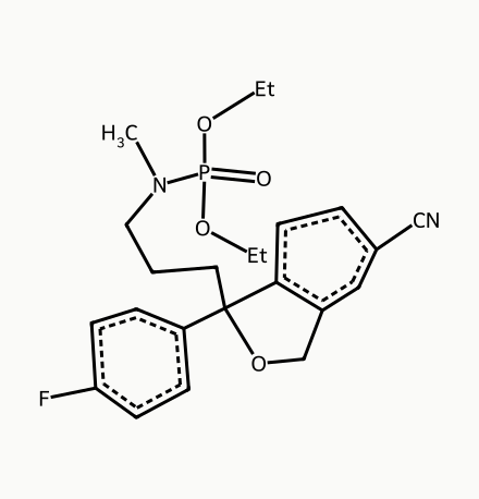 CCOP(=O)(OCC)N(C)CCCC1(c2ccc(F)cc2)OCc2cc(C#N)ccc21